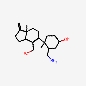 C=C1CCC2C(CO)C(C3(C)CCC(O)CC3CN)CCC12C